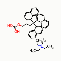 CC[N+](CC)(CC)CC.OB(O)OCCCC(c1cccc2ccccc12)(c1cccc2ccccc12)c1cccc2ccccc12